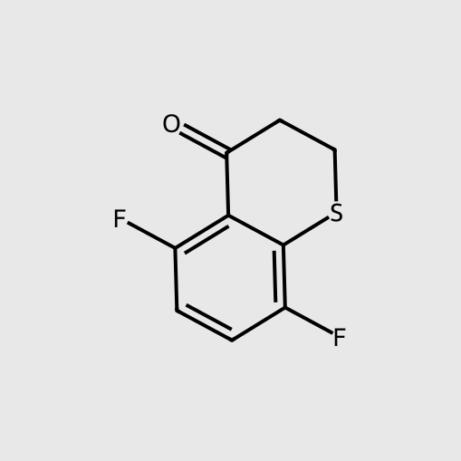 O=C1CCSc2c(F)ccc(F)c21